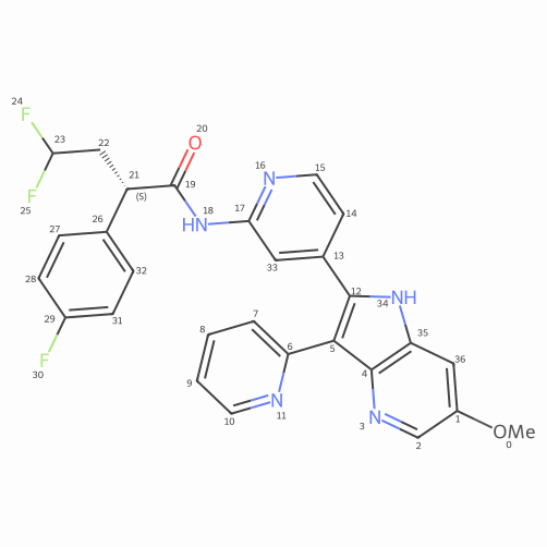 COc1cnc2c(-c3ccccn3)c(-c3ccnc(NC(=O)[C@@H](CC(F)F)c4ccc(F)cc4)c3)[nH]c2c1